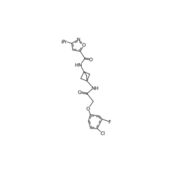 CC(C)c1cc(C(=O)NC23CC(NC(=O)COc4ccc(Cl)c(F)c4)(C2)C3)on1